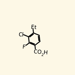 CCc1ccc(C(=O)O)c(F)c1Cl